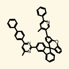 Cc1cc(-c2ccc(-c3ccccc3)cc2)nc(-c2ccc3c(c2)-c2ccccc2C32c3ccccc3Oc3cc(-c4cnc(-c5ccccc5)cc4C)ccc32)n1